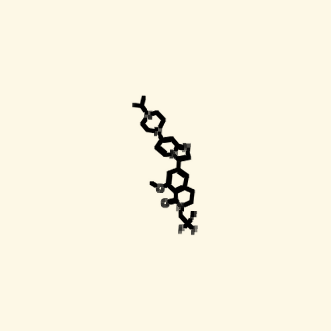 COc1cc(-c2cnc3cc(N4CCN(C(C)C)CC4)ccn23)cc2c1C(=O)N(CC(F)(F)F)CC2